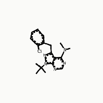 CN(C)c1ncnc2c1c(Cc1ccccc1Cl)nn2C(C)(C)C